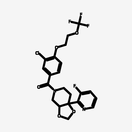 O=C(c1ccc(OCCOC(F)(F)F)c(Cl)c1)N1CCC2(c3ncccc3F)OCOC2C1